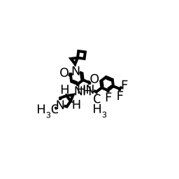 C[C@@H](NC(=O)c1cn([C@H]2CC23CCC3)c(=O)cc1N[C@@H]1[C@@H]2CN(C)C[C@@H]21)c1cccc(C(F)F)c1F